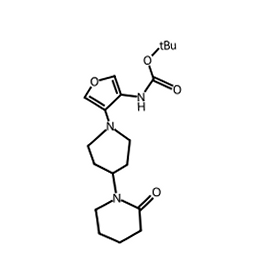 CC(C)(C)OC(=O)Nc1cocc1N1CCC(N2CCCCC2=O)CC1